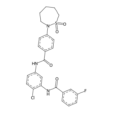 O=C(Nc1ccc(Cl)c(NC(=O)c2cccc(F)c2)c1)c1ccc(N2CCCCCS2(=O)=O)cc1